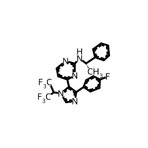 C[C@H](Nc1nccc(-c2c(-c3ccc(F)cc3)ncn2C(C(F)(F)F)C(F)(F)F)n1)c1ccccc1